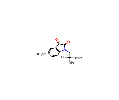 CCCC(C)C(CC)(CCC)CN1C(=O)C(=O)c2cc(S(=O)(=O)O)ccc21